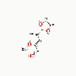 C=C(/C=C(/CO)OCC)C1OCCO1